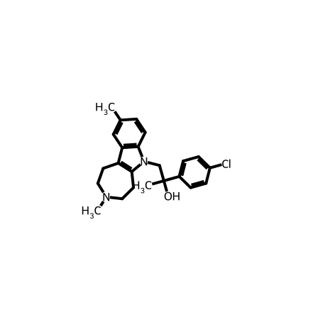 Cc1ccc2c(c1)c1c(n2CC(C)(O)c2ccc(Cl)cc2)CCN(C)CC1